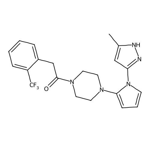 Cc1cc(-n2cccc2N2CCN(C(=O)Cc3ccccc3C(F)(F)F)CC2)n[nH]1